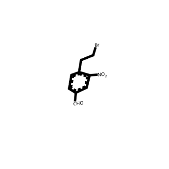 O=Cc1ccc(CCBr)c([N+](=O)[O-])c1